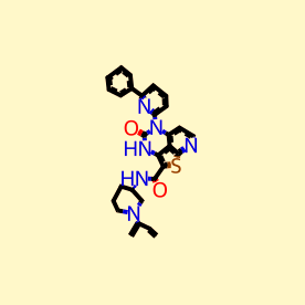 C=CC(=C)N1CCC[C@@H](NC(=O)c2sc3nccc4c3c2NC(=O)N4c2cccc(-c3ccccc3)n2)C1